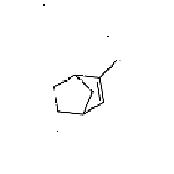 [CH2]C1=CC2CCC1C2